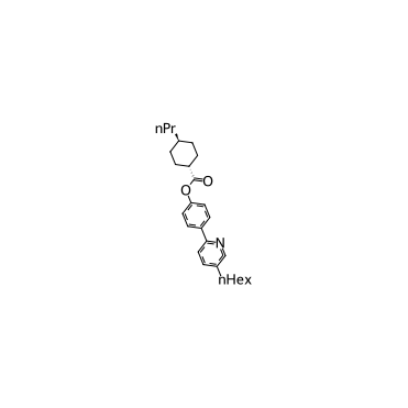 CCCCCCc1ccc(-c2ccc(OC(=O)[C@H]3CC[C@H](CCC)CC3)cc2)nc1